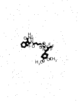 COc1ccc(-c2cc(C(F)(F)F)nc(S(=O)(=O)CCCC(=O)Nc3sc4c(c3C(N)=O)CCCC4)n2)cc1OC